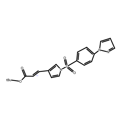 CC(C)(C)OC(=O)/C=C/c1ccn(S(=O)(=O)c2ccc(-n3cccn3)cc2)c1